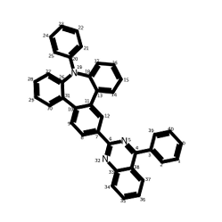 c1ccc(-c2nc(-c3ccc4c(c3)-c3ccccc3N(c3ccccc3)c3ccccc3-4)nc3ccccc23)cc1